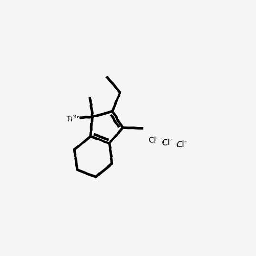 CCC1=C(C)C2=C(CCCC2)[C]1(C)[Ti+3].[Cl-].[Cl-].[Cl-]